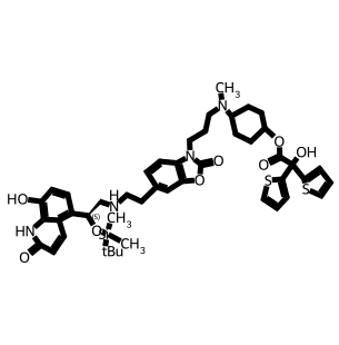 CN(CCCn1c(=O)oc2cc(CCNC[C@@H](O[Si](C)(C)C(C)(C)C)c3ccc(O)c4[nH]c(=O)ccc34)ccc21)C1CCC(OC(=O)C(O)(c2cccs2)c2cccs2)CC1